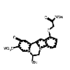 CNC(=O)COc1cccc2c1cc1n2CC(C(C)(C)C)n2cc(C(=O)O)c(=O)cc2-1